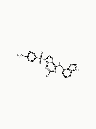 Cc1ccc(S(=O)(=O)n2ccc3c(Nc4cccc5[nH]ncc45)nc(Cl)nc32)cc1